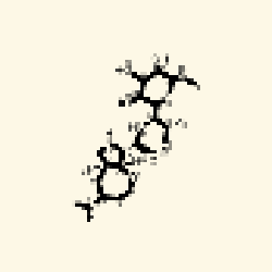 CNC1CCO[C@@H]2[C@H](CN[C@@H]2C(=O)N[C@@H](C2OC(SC)C(O)C(O)C2O)[C@H](C)Cl)C1